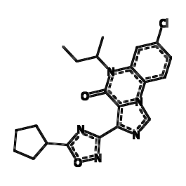 CCC(C)n1c(=O)c2c(-c3noc(C4CCCC4)n3)ncn2c2ccc(Cl)cc21